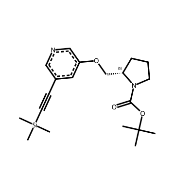 CC(C)(C)OC(=O)N1CCC[C@H]1COc1cncc(C#C[Si](C)(C)C)c1